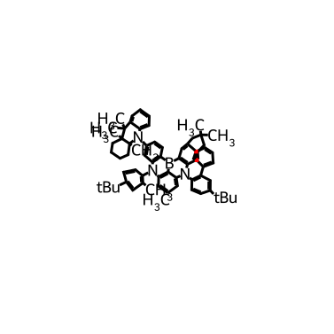 Cc1cc2c3c(c1)N(c1ccc(C(C)(C)C)cc1-c1ccccc1)c1cc4c(cc1B3c1ccc(N3c5ccccc5C(C)(C)C5(C)CCCCC35C)cc1N2c1ccc(C(C)(C)C)cc1C)CC(C)(C)C4